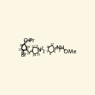 COCCN[C@H]1CC[C@H](CCN2CCC(Cc3cc(OC(C)C)ccc3Br)CC2)CC1